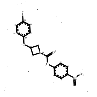 C=[N+]([O-])c1ccc(OC(=O)N2CC(Oc3ccc(I)cn3)C2)cc1